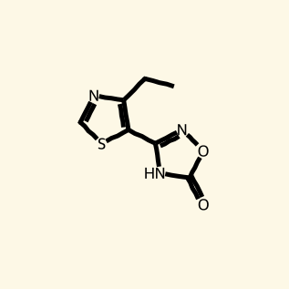 CCc1ncsc1-c1noc(=O)[nH]1